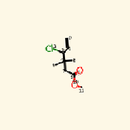 C=CC(Cl)C(C)(C)CC(=O)OC